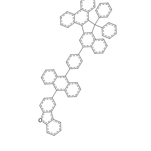 c1ccc(C2(c3ccccc3)c3c(cc(-c4ccc(-c5c6ccccc6c(-c6ccc7oc8ccccc8c7c6)c6ccccc56)cc4)c4ccccc34)-c3c2c2ccccc2c2ccccc32)cc1